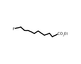 CCOC(=O)CCCCCCCCF